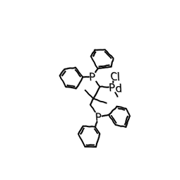 [CH3][Pd]([Cl])[CH](P(c1ccccc1)c1ccccc1)C(C)(C)CP(c1ccccc1)c1ccccc1